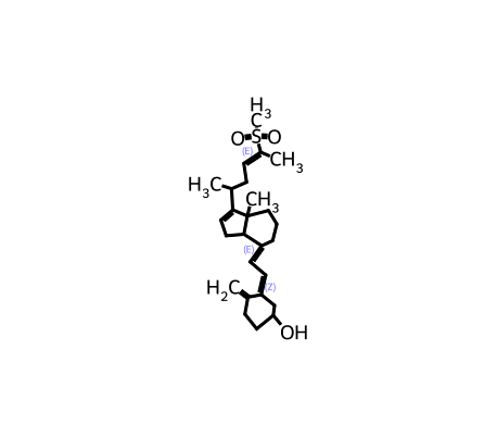 C=C1CCC(O)C/C1=C/C=C1\CCCC2(C)C(C(C)C/C=C(\C)S(C)(=O)=O)=CCC12